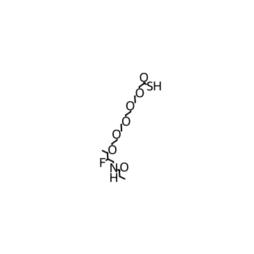 CCC(=O)NCC(F)C(C)OCCOCCOCCOCCOCC(=O)S